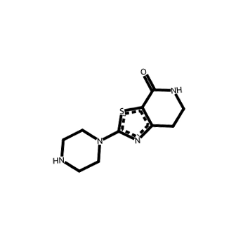 O=C1NCCc2nc(N3CCNCC3)sc21